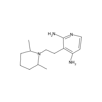 CC1CCCC(C)N1CCc1c(N)ccnc1N